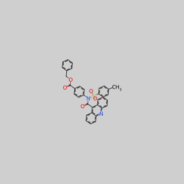 Cc1ccc(S(=O)(=O)N(C(=O)c2c3ccccc3nc3ccccc23)c2ccc(C(=O)OCc3ccccc3)cc2)cc1